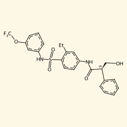 CCc1cc(NC(=O)[C@@H](CO)c2ccccc2)ccc1S(=O)(=O)Nc1cccc(OC(F)(F)F)c1